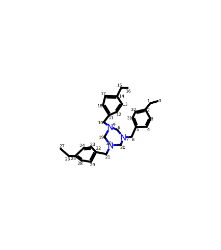 CCc1ccc(CN2CN(Cc3ccc(CC)cc3)CN(Cc3ccc(CC)cc3)C2)cc1